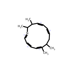 C/C1=C/C=C\C=N\C(C)C(C)/C=C\C=C/CC1C